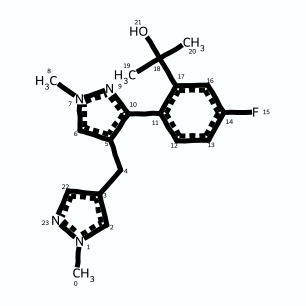 Cn1cc(Cc2cn(C)nc2-c2ccc(F)cc2C(C)(C)O)cn1